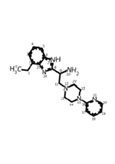 CCc1cccc2[nH]c(C(N)CN3CCN(c4ccccn4)CC3)nc12